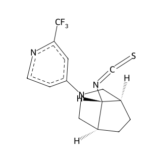 FC(F)(F)c1cc(N2C[C@H]3CC[C@@H](C2)[C@@H]3N=C=S)ccn1